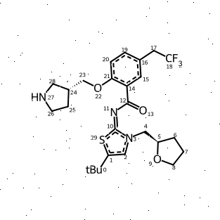 CC(C)(C)c1cn(C[C@H]2CCCO2)c(=NC(=O)c2cc(CC(F)(F)F)ccc2OC[C@@H]2CCNC2)s1